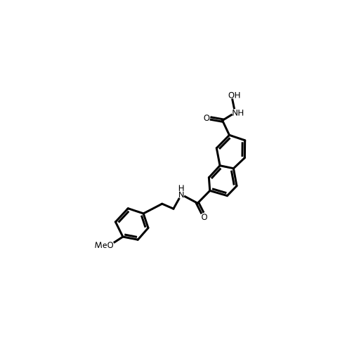 COc1ccc(CCNC(=O)c2ccc3ccc(C(=O)NO)cc3c2)cc1